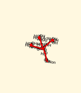 CCCCCCCCCOP(=O)(S)OCCCCCCNC(=O)CCCC(=O)C1CC(COCCC(=O)NCCCCCCOC2OC(CO)C(O)C(O)C2NC(C)=O)C(OCCC(=O)NCCCCCCOC2OC(CO)C(O)C(O)C2NC(C)=O)C(COCCC(=O)NCCCCCCOC2OC(CO)C(O)C(O)C2NC(C)=O)C1